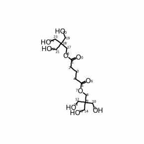 O=C(CCCC(=O)OCC(CO)(CO)CO)OCC(CO)(CO)CO